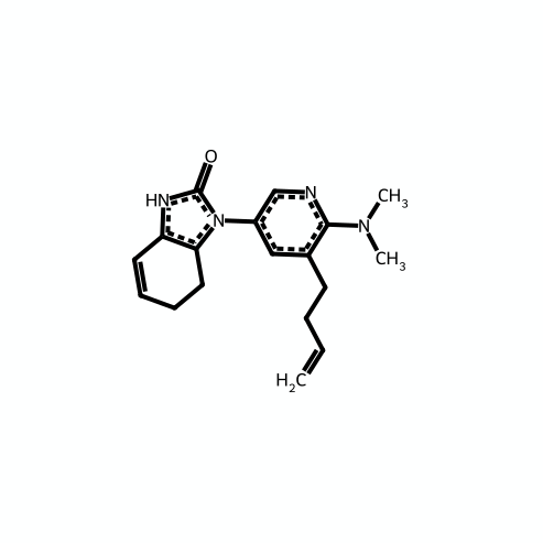 C=CCCc1cc(-n2c3c([nH]c2=O)C=CCC3)cnc1N(C)C